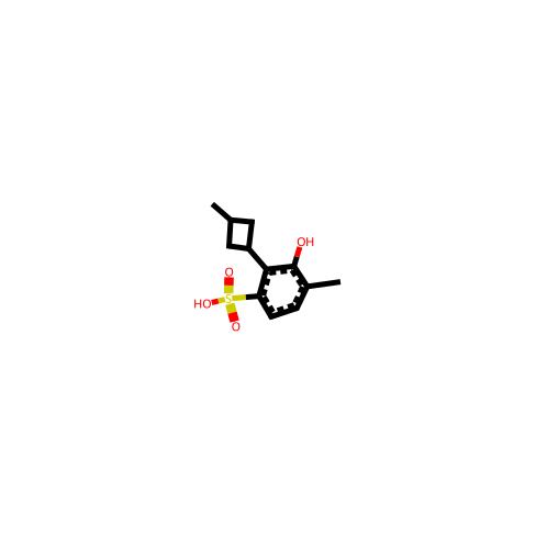 Cc1ccc(S(=O)(=O)O)c(C2CC(C)C2)c1O